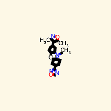 CCN(c1ccc(-c2ncon2)cc1)c1cc(-c2c(C)noc2C)ccc1C